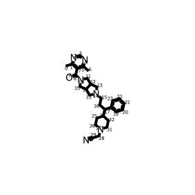 Cc1ncnc(C)c1C(=O)N1CC2CN(CCC(c3ccccc3)C3CCN(CC#N)CC3)CC2C1